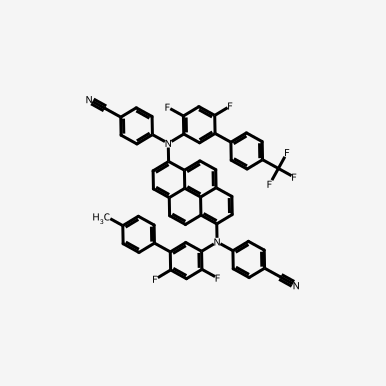 Cc1ccc(-c2cc(N(c3ccc(C#N)cc3)c3ccc4ccc5c(N(c6ccc(C#N)cc6)c6cc(-c7ccc(C(F)(F)F)cc7)c(F)cc6F)ccc6ccc3c4c65)c(F)cc2F)cc1